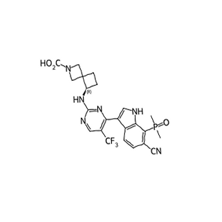 CP(C)(=O)c1c(C#N)ccc2c(-c3nc(N[C@@H]4CCC45CN(C(=O)O)C5)ncc3C(F)(F)F)c[nH]c12